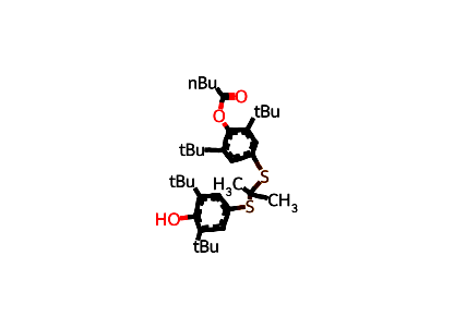 CCCCC(=O)Oc1c(C(C)(C)C)cc(SC(C)(C)Sc2cc(C(C)(C)C)c(O)c(C(C)(C)C)c2)cc1C(C)(C)C